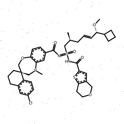 CO[C@@H](/C=C/C[C@H](C)CS(=O)(=NC(=O)c1ccc2c(c1)N(C)C[C@@]1(CCCc3cc(Cl)ccc31)CO2)NC(=O)c1cc2c(s1)CCOC2)C1CCC1